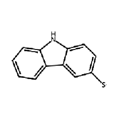 [S]c1ccc2[nH]c3ccccc3c2c1